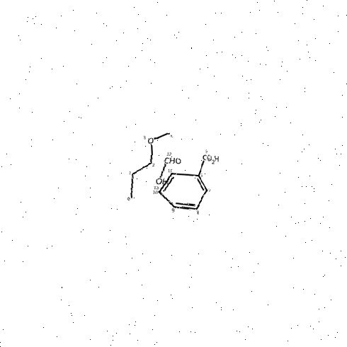 CCCOC.O=C(O)c1ccccc1.O=CO